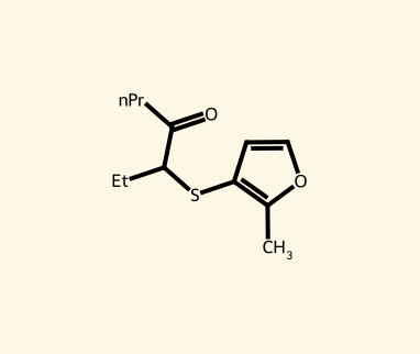 CCCC(=O)C(CC)Sc1ccoc1C